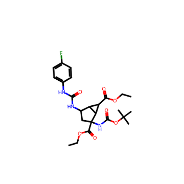 CCOC(=O)C1C2C(NC(=O)Nc3ccc(F)cc3)CC(NC(=O)OC(C)(C)C)(C(=O)OCC)C12